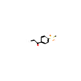 CC(C)(C)CC(=O)c1ccc(S(C)(=O)=O)cc1